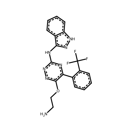 NCCOc1nnc(Nc2n[nH]c3ccccc23)nc1-c1ccccc1C(F)(F)F